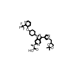 CN(C(=O)O)c1cc2c(cn1)c(-c1cnn(CC3COC(C)(C)O3)c1)nn2C1CCC(Oc2cccnc2C(F)(F)F)CC1